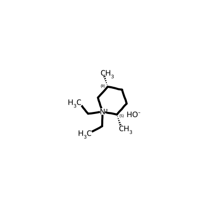 CC[N+]1(CC)C[C@H](C)CC[C@@H]1C.[OH-]